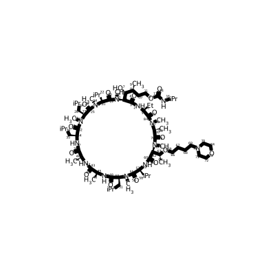 CC[C@@H]1NC(=O)[C@H]([C@H](O)[C@H](C)CCOC(=O)NC(C)C)N(C)C(=O)[C@H](C(C)C)N(C)C(=O)[C@H](CC(C)C)N(C)C(=O)[C@H](CC(C)C)NC(=O)[C@@H](C)NC(=O)[C@H](C)NC(=O)[C@H](CC(C)C)N(C)C(=O)[C@H](C(C)C)NC(=O)[C@H]([C@@H](C)OCCCCN2CCOCC2)N(C)C(=O)[C@@H](C)N(C)C1=O